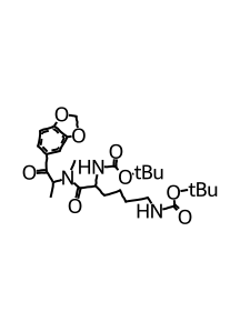 CC(C(=O)c1ccc2c(c1)OCO2)N(C)C(=O)C(CCCCNC(=O)OC(C)(C)C)NC(=O)OC(C)(C)C